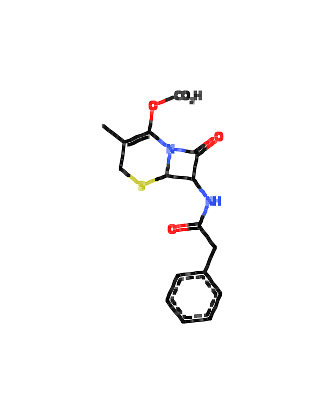 CC1=C(OC(=O)O)N2C(=O)C(NC(=O)Cc3ccccc3)C2SC1